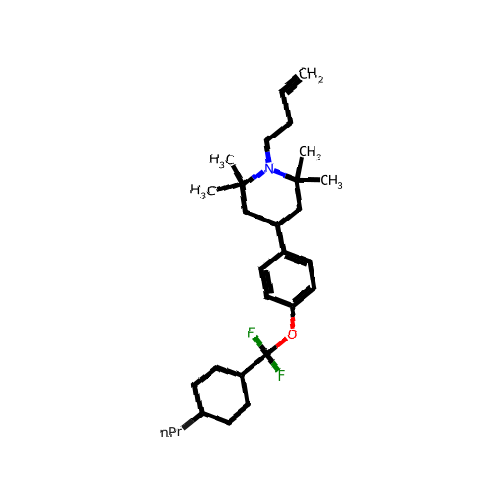 C=CCCN1C(C)(C)CC(c2ccc(OC(F)(F)C3CCC(CCC)CC3)cc2)CC1(C)C